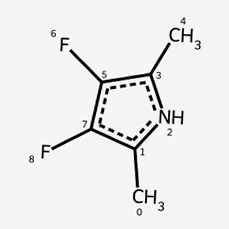 Cc1[nH]c(C)c(F)c1F